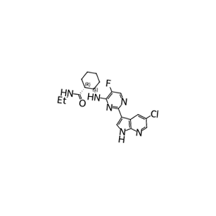 CCNC(=O)[C@@H]1CCCC[C@@H]1Nc1nc(-c2c[nH]c3ncc(Cl)cc23)ncc1F